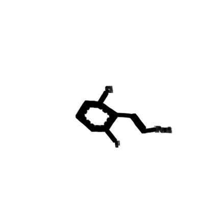 CCCC(C)/C=C/c1c(F)cccc1Cl